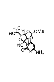 CO[C@H]1O[C@@H]2[C@@H]([C@@H](C)O)O[C@@](C#N)(n3ccc(N)nc3=O)[C@@H]2O1